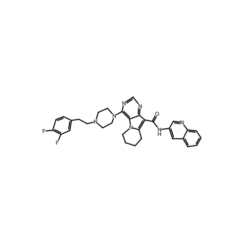 O=C(Nc1cnc2ccccc2c1)c1c2n(c3c(N4CCN(CCc5ccc(F)c(F)c5)CC4)ncnc13)CCCC2